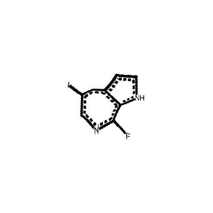 Fc1ncc(I)c2cc[nH]c12